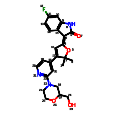 CC1(C)OC(=C2C(=O)Nc3cc(F)ccc32)C=C1c1ccnc(N2CCOC(CO)C2)c1